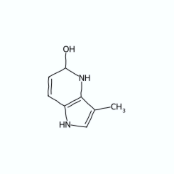 Cc1c[nH]c2c1NC(O)C=C2